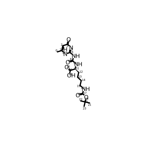 Cc1cc(=O)nc(NC(=O)N[C@@H](CCCCNC(=O)OC(C)(C)C)C(=O)O)[nH]1